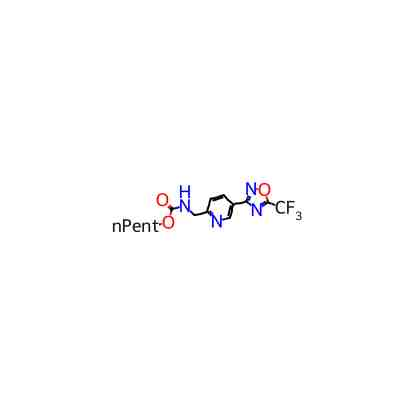 CCCCCOC(=O)NCc1ccc(-c2noc(C(F)(F)F)n2)cn1